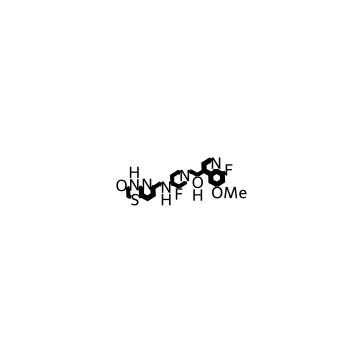 COc1cc(F)c2nccc(C(O)CN3CCC(NCc4ccc5c(n4)NC(=O)CS5)C(F)C3)c2c1